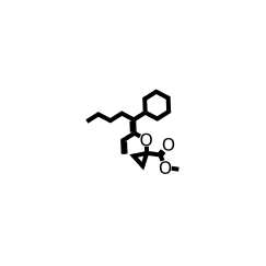 C=C/C(OC1(C(=O)OC)CC1)=C(\CCCC)C1CCCCC1